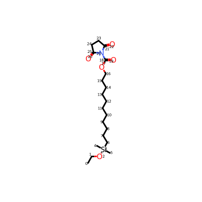 CCO[Si](C)(C)CCCCCCCCCCCOC(=O)N1C(=O)CCC1=O